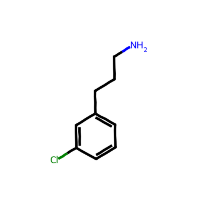 NCCCc1cccc(Cl)c1